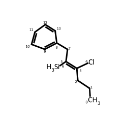 CCCC(Cl)=C([SiH3])Cc1ccccc1